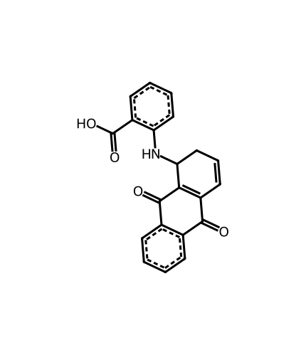 O=C(O)c1ccccc1NC1CC=CC2=C1C(=O)c1ccccc1C2=O